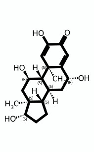 C[C@]12C[C@@H](O)[C@H]3[C@@H](C[C@@H](O)C4=CC(=O)C(O)=C[C@@]43C)[C@@H]1CC[C@@H]2O